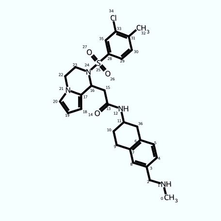 CNCc1ccc2c(c1)CCC(NC(=O)CC1c3cccn3CCN1S(=O)(=O)c1ccc(C)c(Cl)c1)C2